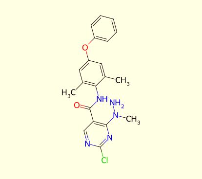 Cc1cc(Oc2ccccc2)cc(C)c1NC(=O)c1cnc(Cl)nc1N(C)N